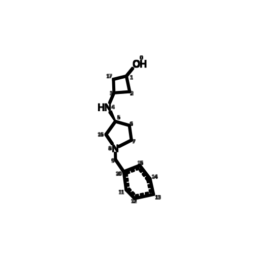 OC1CC(N[C@H]2CCN(Cc3ccccc3)C2)C1